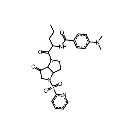 CCCC(NC(=O)c1ccc(N(C)C)cc1)C(=O)N1CCC2C1C(=O)CN2S(=O)(=O)c1ccccn1